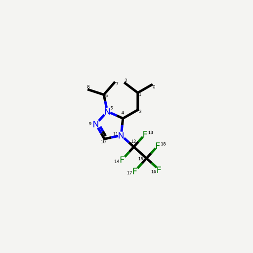 CC(C)CC1N(C(C)C)N=CN1C(F)(F)C(F)(F)F